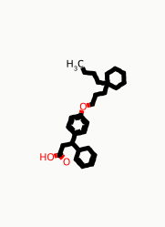 CCCCC1(CCCOc2ccc(C(CC(=O)O)C3C=CC=CC3)cc2)CCCCC1